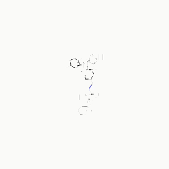 Cc1ccc(C[C@@]2(Nc3ncc(/C=C/C(=O)NOC4CCCCO4)cc3Cl)CCNC2)cc1